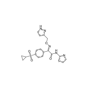 O=C(Nc1nccs1)/C(=N/OCc1cc[nH]n1)c1ccc(S(=O)(=O)C2CC2)cc1